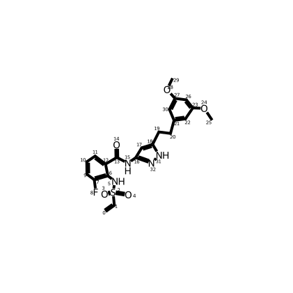 C=CS(=O)(=O)Nc1c(F)cccc1C(=O)Nc1cc(CCc2cc(OC)cc(OC)c2)[nH]n1